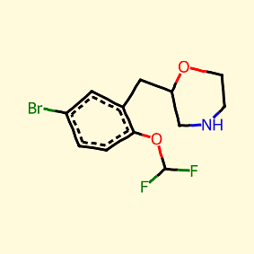 FC(F)Oc1ccc(Br)cc1CC1CNCCO1